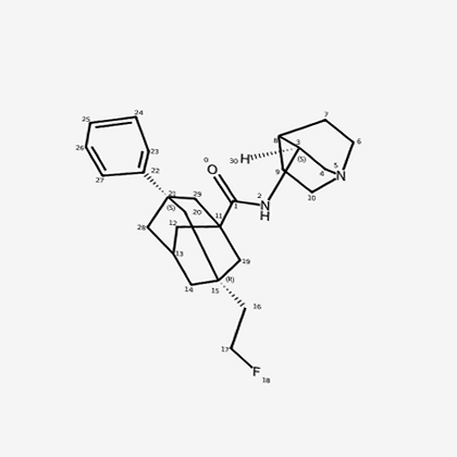 O=C(N[C@@H]1CN2CCC1CC2)C12CC3C[C@](CCF)(C1)C[C@@](c1ccccc1)(C3)C2